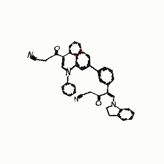 N#CCC(=O)/C(=C\N1CCc2ccccc21)c1cccc(-c2cccc(N(/C=C(/C(=O)CC#N)c3ccccc3)c3ccccc3)c2)c1